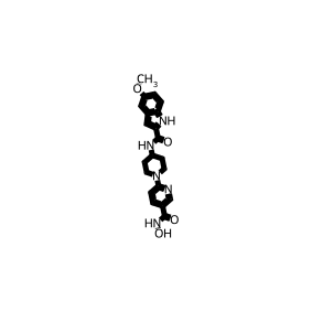 COc1ccc2[nH]c(C(=O)NC3CCN(c4ccc(C(=O)NO)cn4)CC3)cc2c1